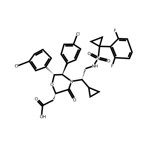 O=C(O)C[C@@H]1O[C@H](c2cccc(Cl)c2)[C@@H](c2ccc(Cl)cc2)N([C@H](CNS(=O)(=O)C2(c3c(F)cccc3F)CC2)C2CC2)C1=O